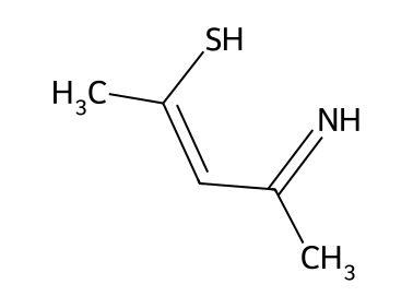 CC(=N)/C=C(/C)S